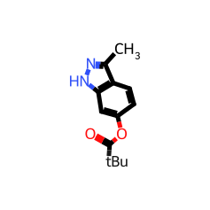 Cc1n[nH]c2cc(OC(=O)C(C)(C)C)ccc12